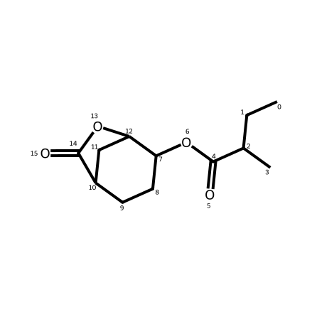 CCC(C)C(=O)OC1CCC2CC1OC2=O